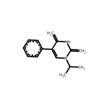 C=C1NC(=C)N(C(C)C)C=C1c1ccccc1